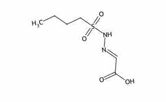 CCCCS(=O)(=O)NN=CC(=O)O